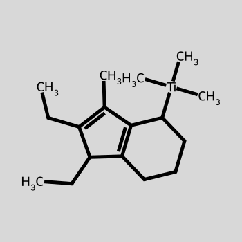 CCC1=C(C)C2=C(CCC[CH]2[Ti]([CH3])([CH3])[CH3])C1CC